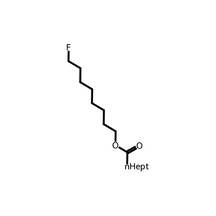 CCCCCCCC(=O)OCCCCCCCCF